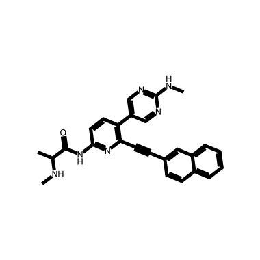 CNc1ncc(-c2ccc(NC(=O)C(C)NC)nc2C#Cc2ccc3ccccc3c2)cn1